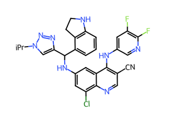 CC(C)n1cc(C(Nc2cc(Cl)c3ncc(C#N)c(Nc4cnc(F)c(F)c4)c3c2)c2cccc3c2CCN3)nn1